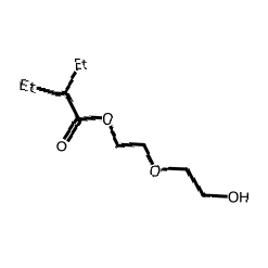 CCC(CC)C(=O)OCCOCCO